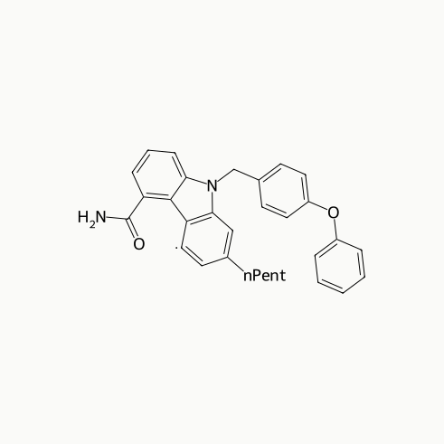 CCCCCc1c[c]c2c3c(C(N)=O)cccc3n(Cc3ccc(Oc4ccccc4)cc3)c2c1